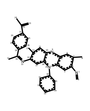 C=Nc1cc2c(cc1C)nc1cc(C)c(/N=C(/C)c3ccc(C(=C)C)cc3)cc1[n+]2-c1ccccc1